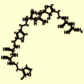 Cc1occc1CCNC(=N)NC(=N)NCc1cc(CCNC(=N)NC(=N)NC2OC=C(CCNC(=N)NC(=N)N)C2C)co1